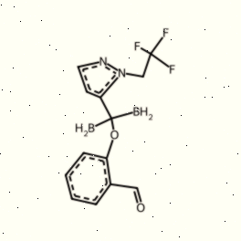 BC(B)(Oc1ccccc1C=O)c1ccnn1CC(F)(F)F